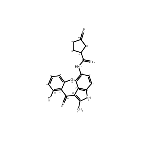 Cc1[nH]c2ccc(NC(=O)C3CCC(=O)C3)cc2c1C(=O)c1c(Cl)cccc1Cl